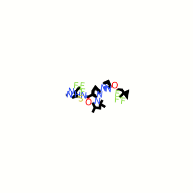 CC1CN(c2nc(-n3ccc(OCCC4(C(F)(F)F)CC4)n3)ccc2C(=O)NSc2cn(C)nc2C(F)(F)F)C(C)(C)C1